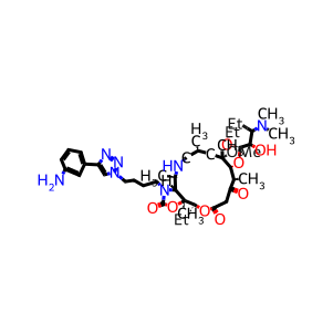 CCO[C@@H](O[C@@H]1[C@@H](C)C(=O)CC(=O)O[C@H](CC)[C@@]2(C)OC(=O)N(CCCCn3cc(-c4cccc(N)c4)nn3)[C@@H]2[C@@H](C)NC[C@H](C)C[C@@]1(C)OC)C(O)C(CC)N(C)C